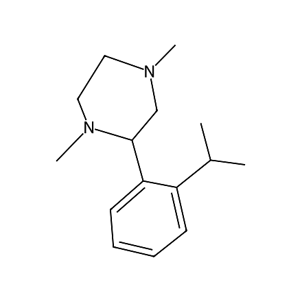 CC(C)c1ccccc1C1CN(C)CCN1C